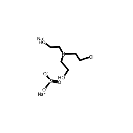 O=[Si]([O-])[O-].OCCN(CCO)CCO.[Na+].[Na+]